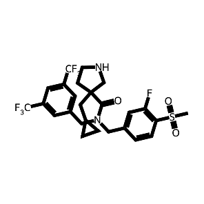 CS(=O)(=O)c1ccc(CN(Cc2cc(C(F)(F)F)cc(C(F)(F)F)c2)C(=O)C2(CC3CC3)CCNC2)cc1F